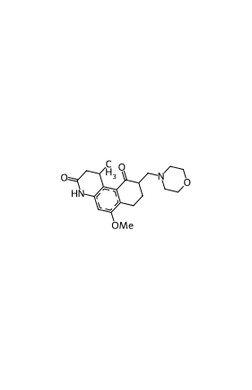 COc1cc2c(c3c1CCC(CN1CCOCC1)C3=O)C(C)CC(=O)N2